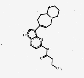 CCCC(=O)Nc1ccc2[nH]cc(C3=CCN4CCCCC4CC3)c2n1